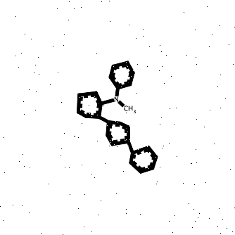 CN(c1ccccc1)c1ccccc1-c1ccc(-c2ccccc2)cc1